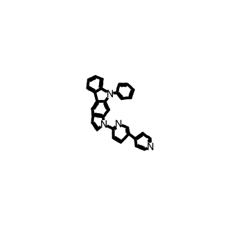 c1ccc(-n2c3ccccc3c3cc4ccn(-c5ccc(-c6ccncc6)cn5)c4cc32)cc1